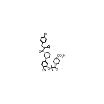 CC(C)(Oc1cc(N2CCC[C@@H](C(=O)N(Cc3ccc(Br)cc3)C3CC3)C2)ccc1C#N)C(=O)N1CCN(C(=O)O)CC1